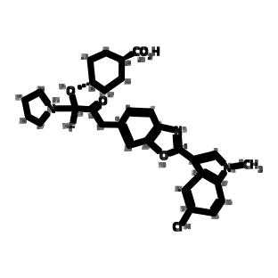 Cn1cc(-c2nc3ccc(CC(=O)C(F)(O[C@H]4CC[C@H](C(=O)O)CC4)N4CCCC4)cc3o2)c2cc(Cl)ccc21